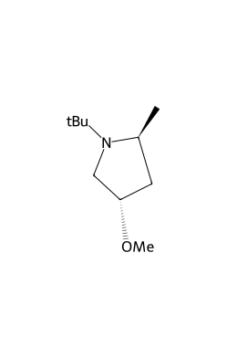 CO[C@H]1C[C@H](C)N(C(C)(C)C)C1